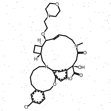 CN1CC/C=C/[C@H](OCCN2CCOCC2)[C@@H]2CC[C@H]2CN2CCCCc3cc(Cl)ccc3COc3ccc(cc32)[C@@](O)(C(=O)O)CC1=O